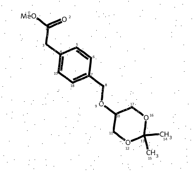 COC(=O)Cc1ccc(COC2COC(C)(C)OC2)cc1